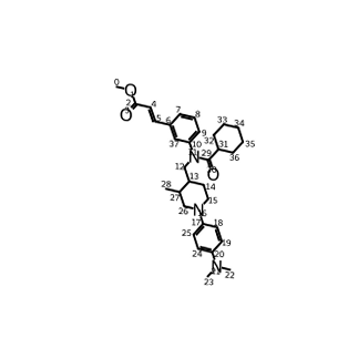 COC(=O)/C=C/c1cccc(N(CC2CCN(c3ccc(N(C)C)cc3)CC2C)C(=O)C2CCCCC2)c1